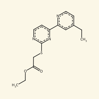 CCOC(=O)CSc1nccc(-c2cc(CC)ccn2)n1